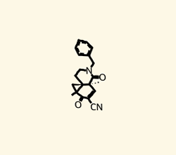 CC12C[C@]13CCN(Cc1ccccc1)C(=O)[C@@]3(C)C=C(C#N)C2=O